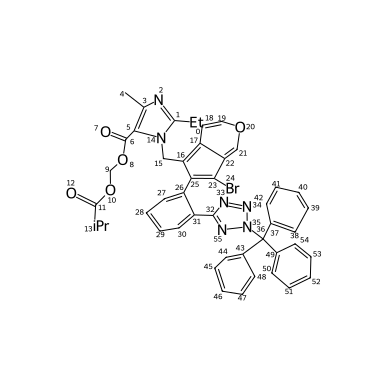 CCc1nc(C)c(C(=O)OCOC(=O)C(C)C)n1Cc1c2ccocc-2c(Br)c1-c1ccccc1-c1nnn(C(c2ccccc2)(c2ccccc2)c2ccccc2)n1